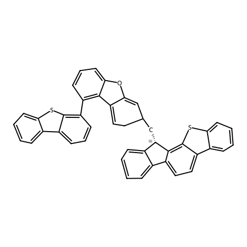 C1=c2oc3cccc(-c4cccc5c4sc4ccccc45)c3c2=CCC1C[C@H]1c2ccccc2-c2ccc3c(sc4ccccc43)c21